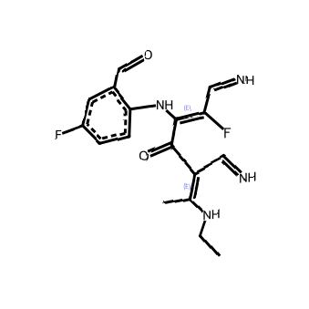 CCN/C(C)=C(\C=N)C(=O)/C(Nc1ccc(F)cc1C=O)=C(\F)C=N